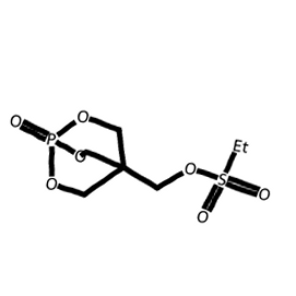 CCS(=O)(=O)OCC12COP(=O)(OC1)OC2